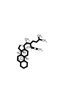 C=C=CC(CCC(C)C)[C@@H](C)[C@H]1CC[C@H]2[C@@H]3CCC4CCCC[C@]4(C)[C@H]3CC[C@]12C